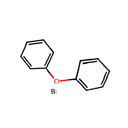 [B].c1ccc(Oc2ccccc2)cc1